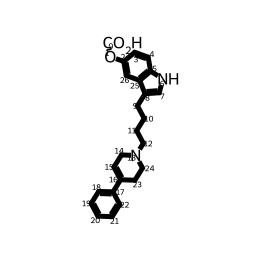 O=C(O)Oc1ccc2[nH]cc(CCCCN3CC=C(c4ccccc4)CC3)c2c1